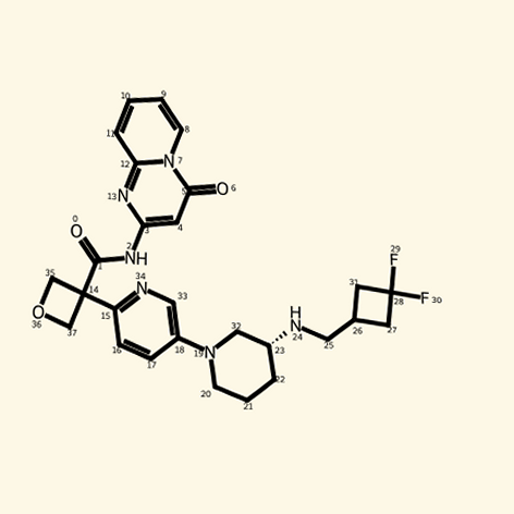 O=C(Nc1cc(=O)n2ccccc2n1)C1(c2ccc(N3CCC[C@@H](NCC4CC(F)(F)C4)C3)cn2)COC1